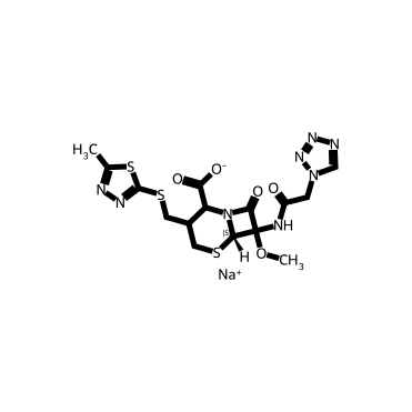 COC1(NC(=O)Cn2cnnn2)C(=O)N2C(C(=O)[O-])C(CSc3nnc(C)s3)CS[C@H]21.[Na+]